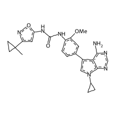 COc1cc(-c2cn(C3CC3)c3ncnc(N)c23)ccc1NC(=O)Nc1cc(C2(C)CC2)no1